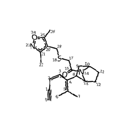 C#C/C=C\C(=C(C)C)C1CC2CCC1N2C(=O)CSCc1c(C)noc1C